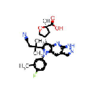 Cc1cc(-n2c(C(C)(C)CC#N)c([C@@H]3CO[C@@](C)(C(=O)O)C3)c3nc4[nH]ncc4cc32)ccc1F